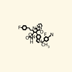 CC(c1ccc(C#N)c(F)c1)n1ccc2cc(-c3c(-c4n[nH]c(=O)o4)c(CCc4ccc(F)cc4)nc4c3c(=O)n3n4CCC3)ccc21